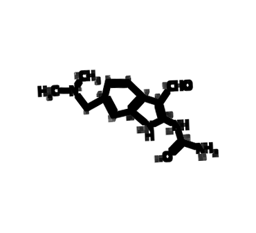 CN(C)Cc1ccc2c(C=O)c(NC(N)=O)[nH]c2c1